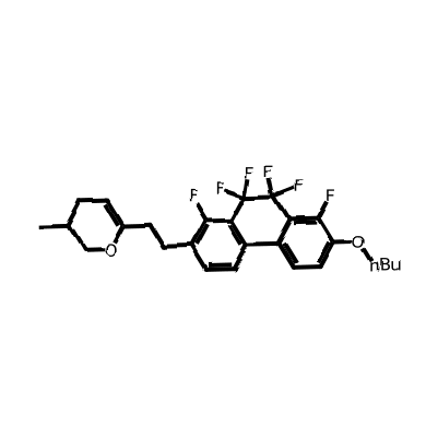 CCCCOc1ccc2c(c1F)C(F)(F)C(F)(F)c1c-2ccc(CCC2=CCC(C)CO2)c1F